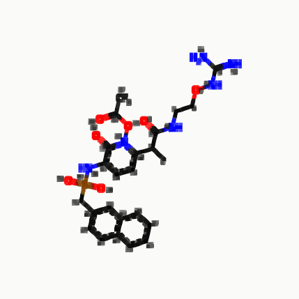 CC(C(=O)NCCONC(=N)N)c1ccc(NS(=O)(=O)Cc2ccc3ccccc3c2)c(=O)n1OC(=O)C(F)(F)F